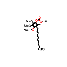 COc1c(OC(=O)OC(C)(C)C)c(C)c(CCCCCCCCCC=O)c(OC(=O)O)c1OC